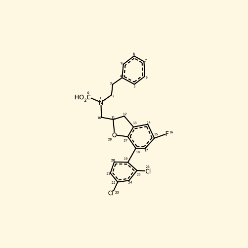 O=C(O)N(CCc1ccccc1)CC1Cc2cc(F)cc(-c3ccc(Cl)cc3Cl)c2O1